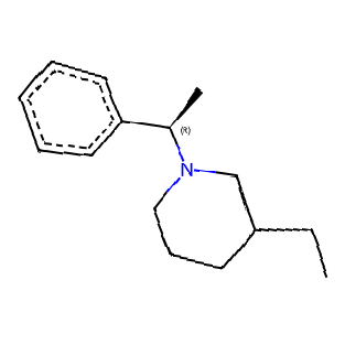 CCC1CCCN([C@H](C)c2ccccc2)C1